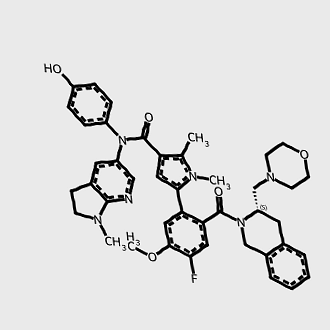 COc1cc(-c2cc(C(=O)N(c3ccc(O)cc3)c3cnc4c(c3)CCN4C)c(C)n2C)c(C(=O)N2Cc3ccccc3C[C@H]2CN2CCOCC2)cc1F